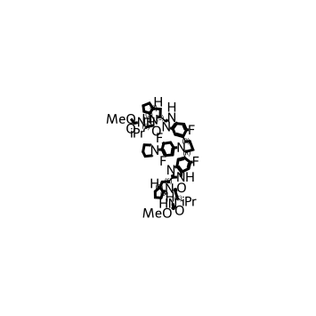 COC(=O)N[C@H](C(=O)N1[C@H](c2nc3cc([C@H]4CC[C@H](c5cc6nc([C@@H]7C[C@@H]8CCC[C@@H]8N7C(=O)[C@@H](NC(=O)OC)C(C)C)[nH]c6cc5F)N4C4=CC(F)=C(N5CCCCC5)C(F)C4)c(F)cc3[nH]2)C[C@@H]2CCC[C@@H]21)C(C)C